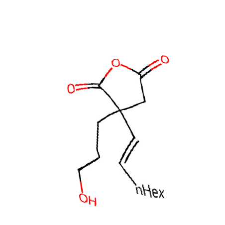 CCCCCCC=CC1(CCCO)CC(=O)OC1=O